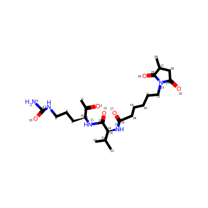 CC(=O)[C@H](CCCNC(N)=O)NC(=O)[C@@H](NC(=O)CCCCCN1C(=O)CC(C)C1=O)C(C)C